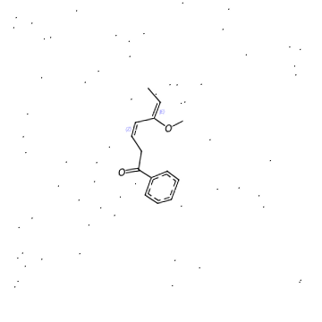 C/C=C(\C=C/CC(=O)c1ccccc1)OC